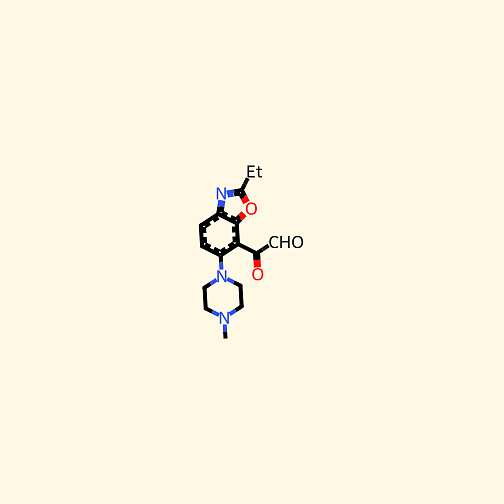 CCc1nc2ccc(N3CCN(C)CC3)c(C(=O)C=O)c2o1